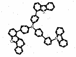 c1cc(-c2ccc(N(c3ccc(-c4cccc5c4sc4ccccc45)cc3)c3ccc(-c4cccc5oc6c7ccccc7ccc6c45)cc3)cc2)cc(-n2c3ccccc3c3ccccc32)c1